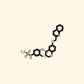 O=S(=O)(Nc1cccc(C[C@H]2COc3ccc(OCc4ccc5ccccc5n4)cc3[C@H]2O)c1)C(F)(F)F